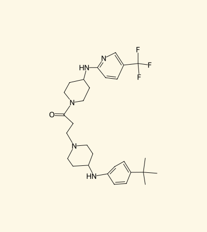 CC(C)(C)c1ccc(NC2CCN(CCC(=O)N3CCC(Nc4ccc(C(F)(F)F)cn4)CC3)CC2)cc1